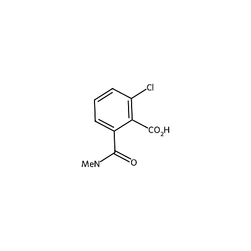 CNC(=O)c1cccc(Cl)c1C(=O)O